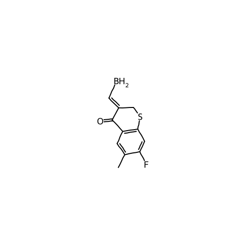 B/C=C1\CSc2cc(F)c(C)cc2C1=O